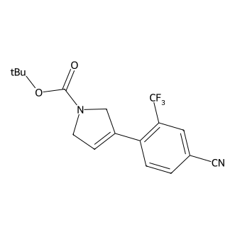 CC(C)(C)OC(=O)N1CC=C(c2ccc(C#N)cc2C(F)(F)F)C1